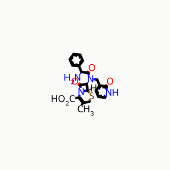 CC1=C(C(=O)O)N2C(=O)[C@@H](N(Cc3ccc[nH]c3=O)C(=O)[C@H](N)c3ccccc3)[C@H]2SC1